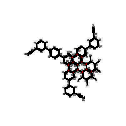 Cc1c(C)c(C)c2c(c1C)Cc1c(C)c(C)c(C)c(C)c1N2c1cc(-c2cccc(C#N)c2)ccc1-c1nc(-c2ccc(-c3cccc(C#N)c3)cc2)nc(-c2ccc(-c3cccc(C#N)c3)cc2N2c3c(C)c(C)c(C)c(C)c3Cc3c(C)c(C)c(C)c(C)c32)n1